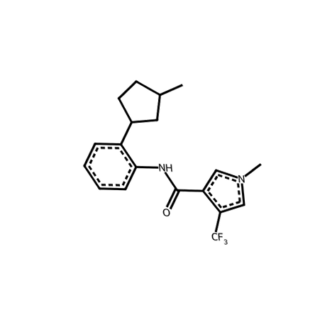 CC1CCC(c2ccccc2NC(=O)c2cn(C)cc2C(F)(F)F)C1